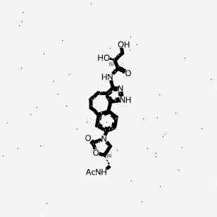 CC(=O)NC[C@H]1CN(c2ccc3c(c2)CCCc2c(NC(=O)[C@@H](O)CO)n[nH]c2-3)C(=O)O1